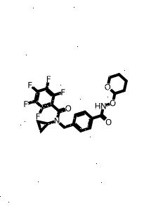 O=C(NOC1CCCCO1)c1ccc(CN(C(=O)c2c(F)c(F)c(F)c(F)c2F)C2CC2)cc1